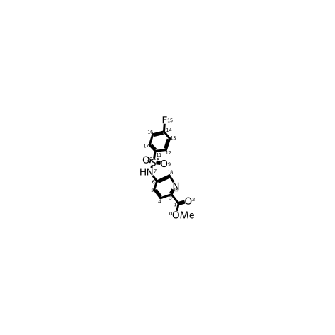 COC(=O)c1ccc(NS(=O)(=O)c2ccc(F)cc2)cn1